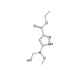 CCOC(=O)c1cc(N(CO)OC)[nH]n1